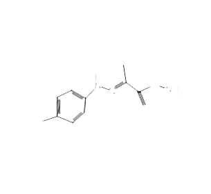 C/C(=N\Nc1ccc(Cl)cc1)C(=O)ON